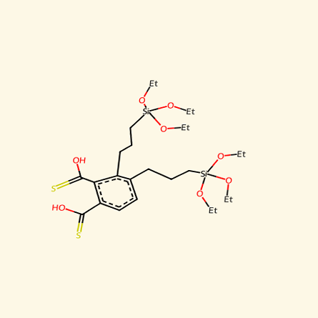 CCO[Si](CCCc1ccc(C(O)=S)c(C(O)=S)c1CCC[Si](OCC)(OCC)OCC)(OCC)OCC